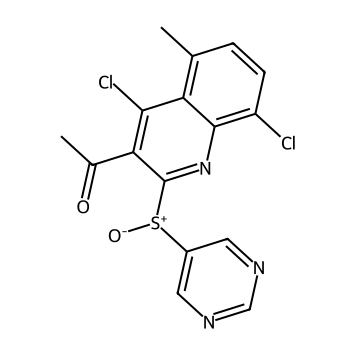 CC(=O)c1c([S+]([O-])c2cncnc2)nc2c(Cl)ccc(C)c2c1Cl